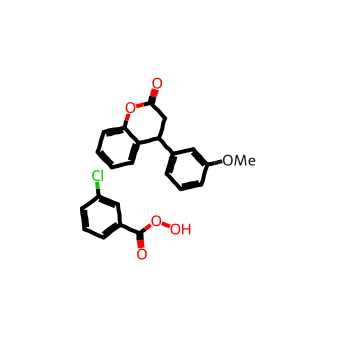 COc1cccc(C2CC(=O)Oc3ccccc32)c1.O=C(OO)c1cccc(Cl)c1